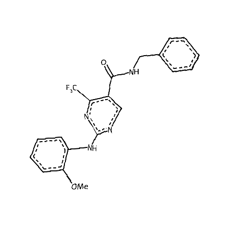 COc1ccccc1Nc1ncc(C(=O)NCc2ccccc2)c(C(F)(F)F)n1